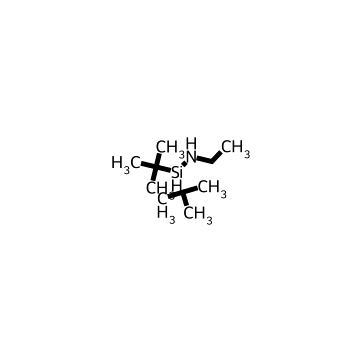 CCN[SiH](C(C)(C)C)C(C)(C)C